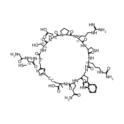 C[C@@H](O)[C@@H]1NC(=O)[C@@H](NC(=O)[C@H](CS)NC(=O)CN)Cc2cn(nn2)CCCC(C)(C(=O)O)NC(=O)[C@H](CCC(N)=O)NC(=O)C(Cc2c[nH]c3ccccc23)NC(=O)[C@H](CCCNC(N)=O)NC(=O)C(CS)NC(=O)[C@H](CCCNC(=N)N)NC(=O)C2CCCN2C(=O)[C@H](CC(=O)O)NC1=O